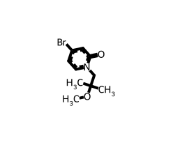 COC(C)(C)Cn1ccc(Br)cc1=O